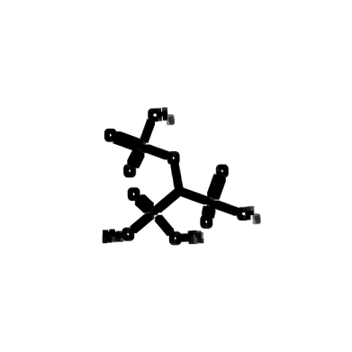 CCOP(=O)(OC)C(OS(C)(=O)=O)S(=O)(=O)C(F)(F)F